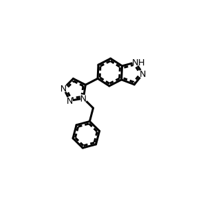 c1ccc(Cn2nncc2-c2ccc3[nH]ncc3c2)cc1